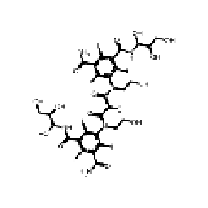 NC(=O)c1c(I)c(C(=O)NC(O)C(O)CO)c(I)c(N(CCO)C(=O)C(O)C(=O)N(CCO)c2c(I)c(C(N)=O)c(I)c(C(=O)NC(O)C(O)CO)c2I)c1I